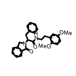 COc1ccc(OC)c(CCNC(=O)C(Cc2ccccc2)N2Cc3ccccc3C2=O)c1